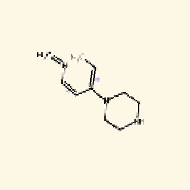 C=N/C=C\C(=C/C)N1CCNCC1